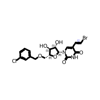 O=c1[nH]c(=O)n([C@@H]2O[C@H](COCc3cccc(Cl)c3)[C@@H](O)[C@@H]2O)cc1/C=C/Br